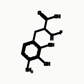 Bc1ccc(CC(NF)C(=O)O)c(O)c1O